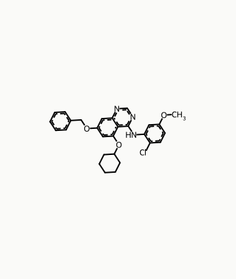 COc1ccc(Cl)c(Nc2ncnc3cc(OCc4ccccc4)cc(OC4CCCCC4)c23)c1